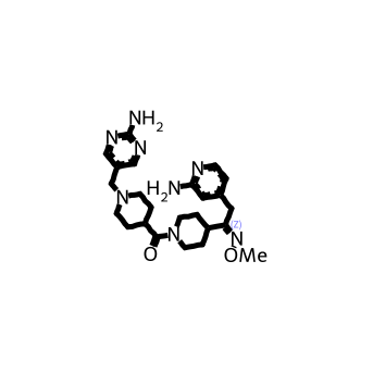 CO/N=C(/Cc1ccnc(N)c1)C1CCN(C(=O)C2CCN(Cc3cnc(N)nc3)CC2)CC1